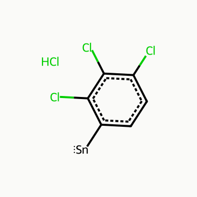 Cl.Clc1cc[c]([Sn])c(Cl)c1Cl